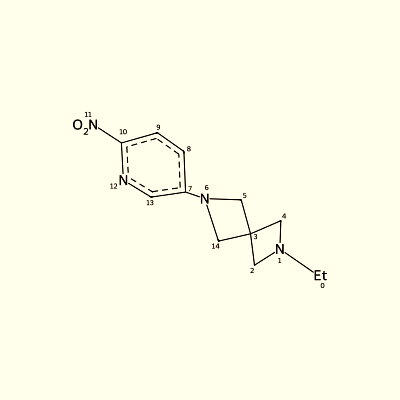 CCN1CC2(C1)CN(c1ccc([N+](=O)[O-])nc1)C2